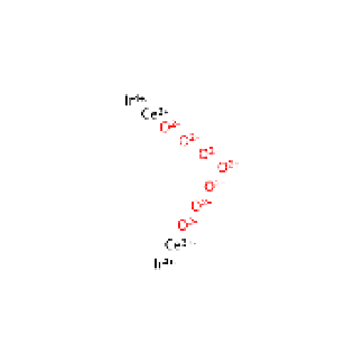 [Ce+3].[Ce+3].[Ir+4].[Ir+4].[O-2].[O-2].[O-2].[O-2].[O-2].[O-2].[O-2]